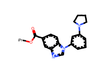 CC(C)OC(=O)c1ccc2c(c1)ncn2-c1cccc(N2CCCC2)c1